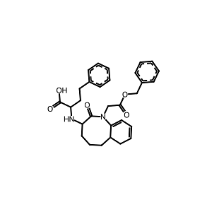 O=C(CN1C(=O)C(NC(CCc2ccccc2)C(=O)O)CCCC2CC=CC=C21)OCc1ccccc1